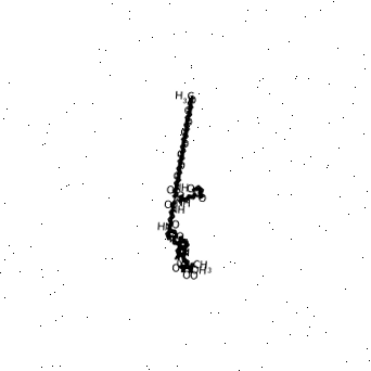 CC[C@@]1(O)C(=O)OCc2c1cc1n(c2=O)Cc2cc3c(CN4CCC(NC(=O)CCCNC(=O)[C@H](CCC(=O)NCCOCCOCCOCCOCCOCCOCCOCCOC)NC(=O)CCCN5C(=O)C=CC5=O)CC4)c(O)ccc3nc2-1